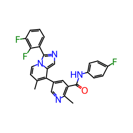 Cc1ccn2c(-c3cccc(F)c3F)ncc2c1-c1cnc(C)c(C(=O)Nc2ccc(F)cc2)c1